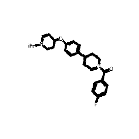 CC(C)N1CCC(Oc2ccc(C3CCN(C(=O)c4ccc(F)cc4)CC3)cc2)CC1